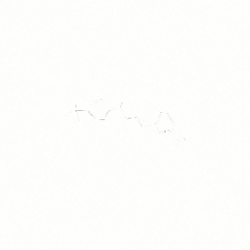 CC(C)(C)c1ccc(C(=O)N/N=C/c2cc([N+](=O)[O-])ccc2O)cc1